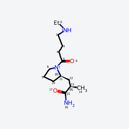 CCNCCCC(=O)N1CCC[C@@H]1C[C@@H](C)C(N)=O